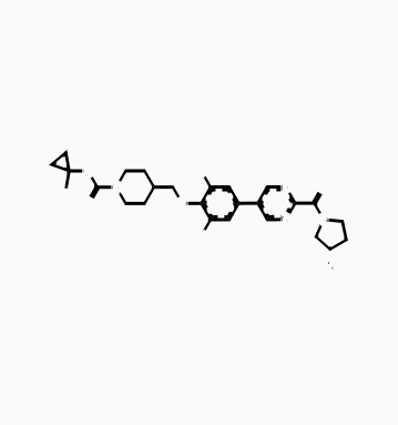 CC1(OC(=O)N2CCC(COc3c(F)cc(-c4cnc(C(=O)N5CC[C@H](O)C5)nc4)cc3F)CC2)CC1